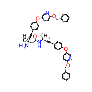 CC(C#Cc1ccc(Oc2ccc(OCc3ccccc3)nc2)cc1)NC(=O)CC(C)(N)C#Cc1ccc(Oc2ccc(OCc3ccccc3)nc2)cc1